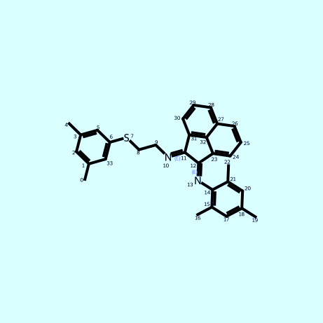 Cc1cc(C)cc(SCC/N=C2/C(=N/c3c(C)cc(C)cc3C)c3cccc4cccc2c34)c1